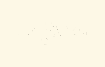 O=C(COc1ccccc1C1CC1(NS(=O)(=O)C1CC=C(c2ccc(Cl)cc2)S1)C(=O)O)N1CCOCC1